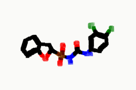 O=C(Nc1ccc(Cl)c(Cl)c1)NS(=O)(=O)C1Cc2ccccc2O1